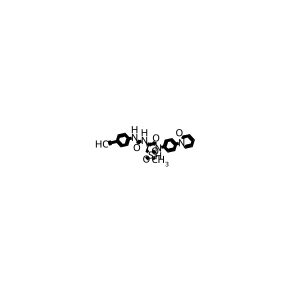 C#Cc1ccc(NC(=O)N[C@H](CS(C)(=O)=O)C(=O)Nc2ccc(-n3ccccc3=O)cc2)cc1